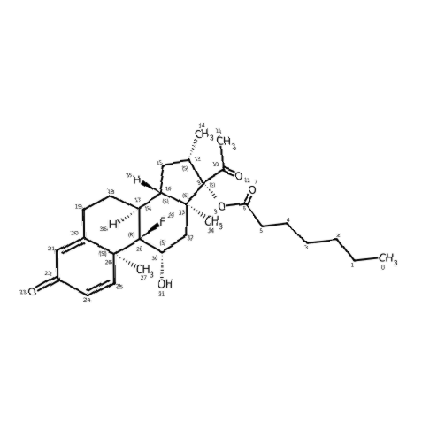 CCCCCCC(=O)O[C@@]1(C(C)=O)[C@@H](C)C[C@H]2[C@@H]3CCC4=CC(=O)C=C[C@]4(C)[C@@]3(F)[C@@H](O)C[C@@]21C